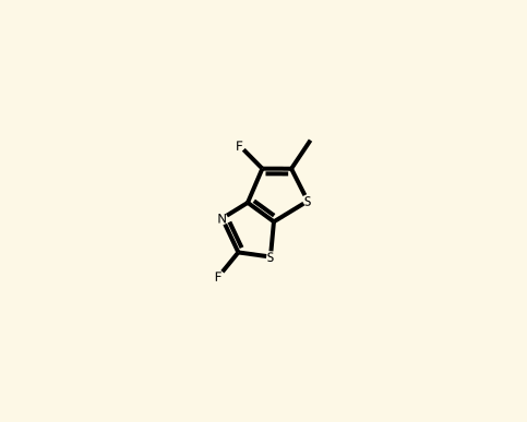 Cc1sc2sc(F)nc2c1F